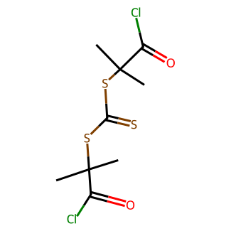 CC(C)(SC(=S)SC(C)(C)C(=O)Cl)C(=O)Cl